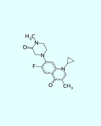 Cc1cn(C2CC2)c2cc(N3CCN(C)C(=O)C3)c(F)cc2c1=O